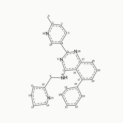 Cc1ccc(-c2nc(NCc3ccccn3)c3c(-c4ccccc4)cccc3n2)cn1